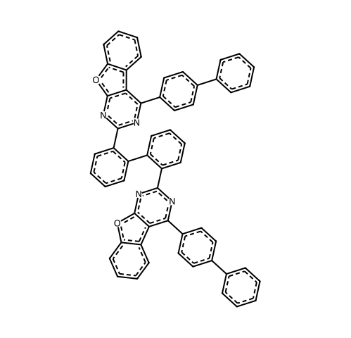 c1ccc(-c2ccc(-c3nc(-c4ccccc4-c4ccccc4-c4nc(-c5ccc(-c6ccccc6)cc5)c5c(n4)oc4ccccc45)nc4oc5ccccc5c34)cc2)cc1